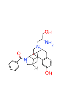 N[C@@H](CO)CN1CCC23c4cc(O)ccc4CC1C21CCC2C3[C@@H](CN2C(=O)c2ccccc2)C1